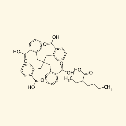 CCCCC(CC)C(=O)O.O=C(O)c1ccccc1CC(Cc1ccccc1C(=O)O)(Cc1ccccc1C(=O)O)Cc1ccccc1C(=O)O